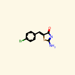 NC1=NC(=O)C(=Cc2ccc(Br)cc2)S1